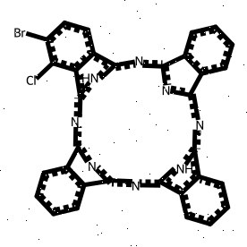 Clc1c(Br)ccc2c3nc4nc(nc5[nH]c(nc6nc(nc([nH]3)c12)-c1ccccc1-6)c1ccccc51)-c1ccccc1-4